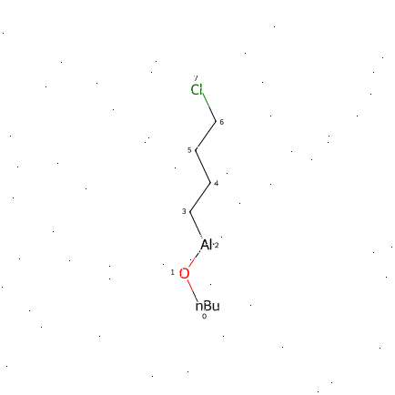 CCCC[O][Al][CH2]CCCCl